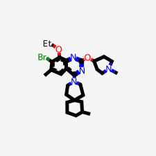 CCOc1c(Br)c(C)cc2c(N3CCC4(CCCC(C)C4)CC3)nc(OC3CCN(C)CC3)nc12